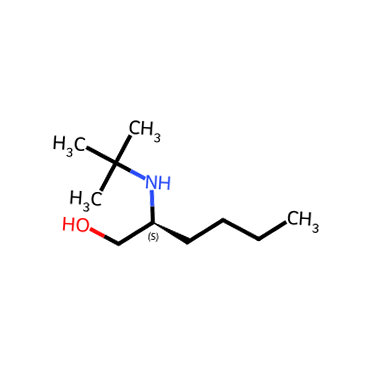 CCCC[C@@H](CO)NC(C)(C)C